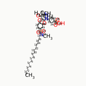 CCCCCCCCCCCCCCCCCCN(C)S(=O)(=O)c1ccc(OC(C(=O)Nc2ccc(S(=O)(=O)O)cc2)C(=O)C(C)(C)C)cc1